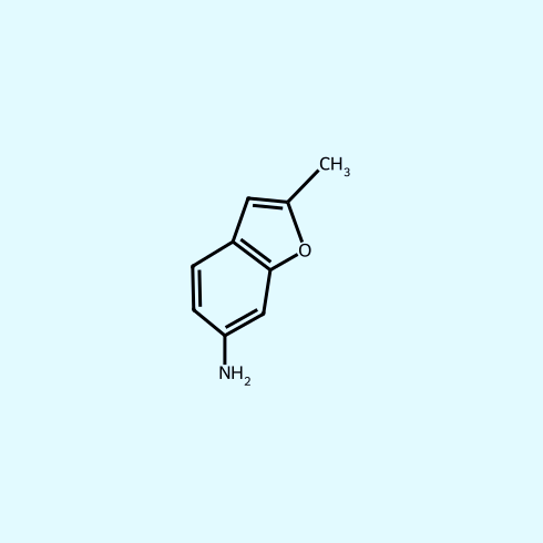 Cc1cc2ccc(N)cc2o1